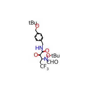 CC(C)(C)OCc1ccc(CNC(=O)C(=O)C(CC(F)(F)F)N(C=O)OC(C)(C)C)cc1